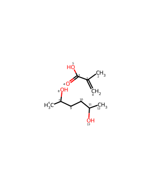 C=C(C)C(=O)O.CC(O)CCC(C)O